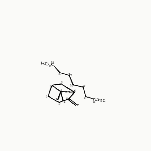 C=C1CCC2CC1C2(C)C.CCCCCCCCCCCCCCCC(=O)O